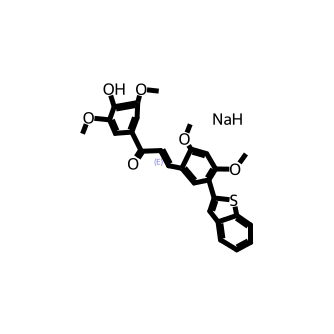 COc1cc(OC)c(-c2cc3ccccc3s2)cc1/C=C/C(=O)c1cc(OC)c(O)c(OC)c1.[NaH]